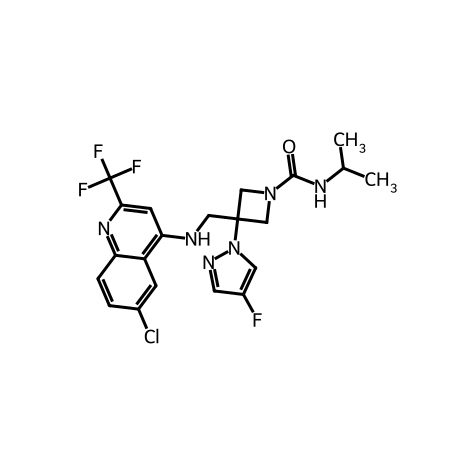 CC(C)NC(=O)N1CC(CNc2cc(C(F)(F)F)nc3ccc(Cl)cc23)(n2cc(F)cn2)C1